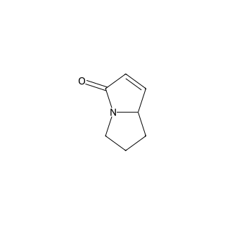 O=C1C=CC2CCCN12